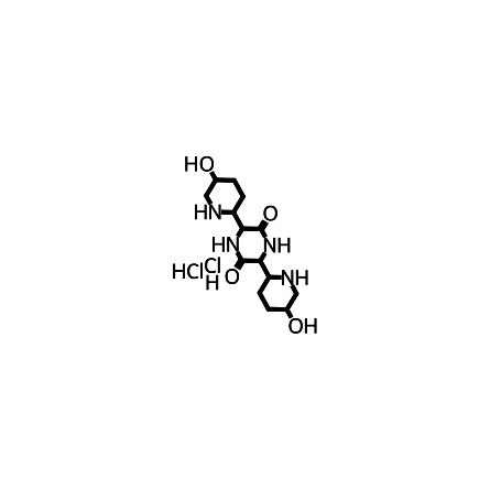 Cl.Cl.O=C1NC(C2CCC(O)CN2)C(=O)NC1C1CCC(O)CN1